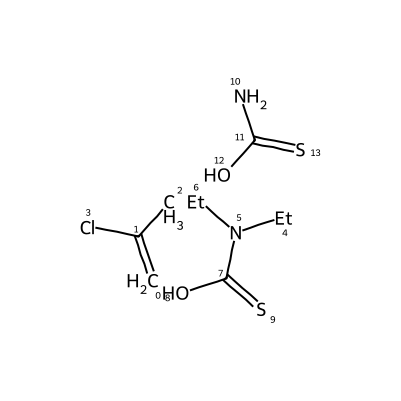 C=C(C)Cl.CCN(CC)C(O)=S.NC(O)=S